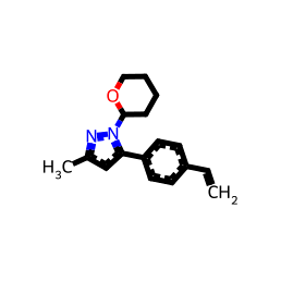 C=Cc1ccc(-c2cc(C)nn2C2CCCCO2)cc1